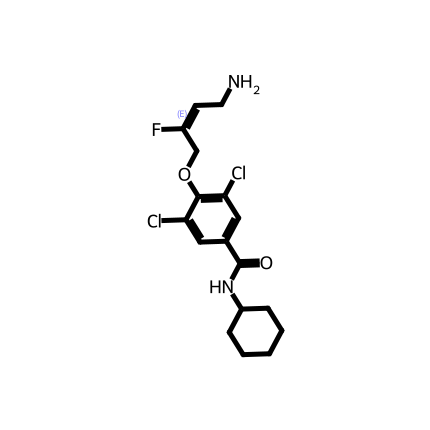 NC/C=C(/F)COc1c(Cl)cc(C(=O)NC2CCCCC2)cc1Cl